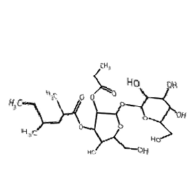 CCC(=O)OC1C(OC2OC(CO)C(O)C(O)C2O)OC(CO)C(O)C1OC(=O)C(C)CC(C)CC